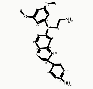 COc1cc(OC)cc(N(CCN)c2ccc3ncc(-c4ccc(N)nc4)nc3c2)c1